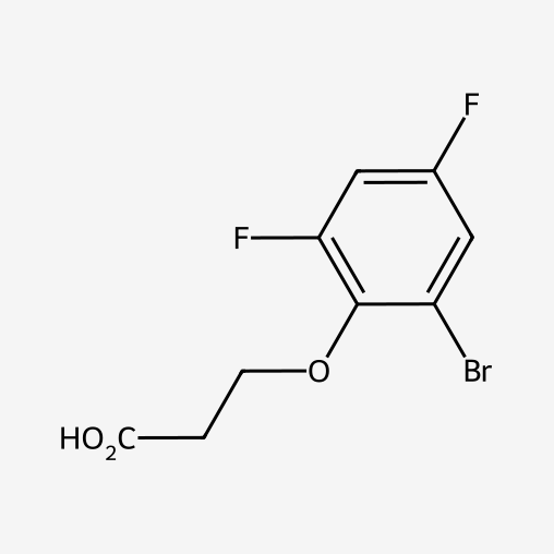 O=C(O)CCOc1c(F)cc(F)cc1Br